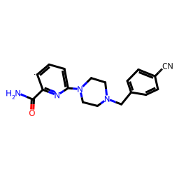 N#Cc1ccc(CN2CCN(c3cc[c]c(C(N)=O)n3)CC2)cc1